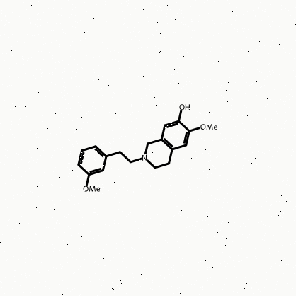 COc1cccc(CCN2CCc3cc(OC)c(O)cc3C2)c1